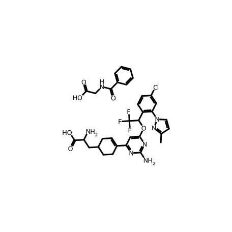 Cc1ccn(-c2cc(Cl)ccc2C(Oc2cc(C3=CCC(CC(N)C(=O)O)CC3)nc(N)n2)C(F)(F)F)n1.O=C(O)CNC(=O)c1ccccc1